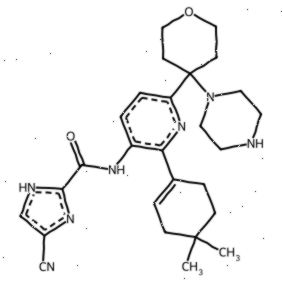 CC1(C)CC=C(c2nc(C3(N4CCNCC4)CCOCC3)ccc2NC(=O)c2nc(C#N)c[nH]2)CC1